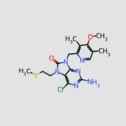 COc1c(C)cnc(Cn2c(=O)n(CCSC)c3c(Cl)nc(N)nc32)c1C